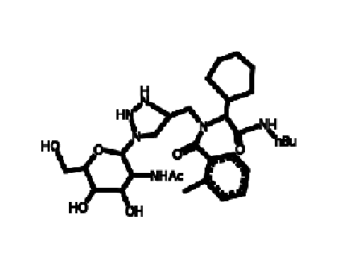 CCCCNC(=O)C(C1CCCCC1)N(CC1CN(C2OC(CO)C(O)C(O)C2NC(C)=O)NN1)C(=O)c1ccccc1C